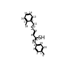 Cc1ccc(N=C(S)C=CSCc2ccccc2C)cc1